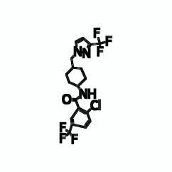 O=C(NC1CCC(Cn2ccc(C(F)(F)F)n2)CC1)c1cc(C(F)(F)F)ccc1Cl